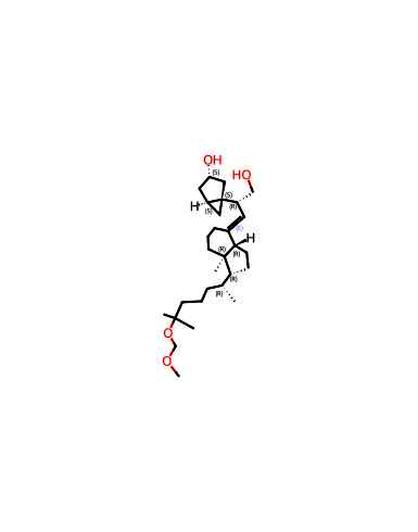 COCOC(C)(C)CCC[C@@H](C)[C@H]1CC[C@H]2/C(=C/[C@@H](CO)[C@@]34C[C@@H](O)C[C@@H]3C4)CCC[C@]12C